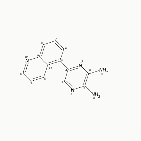 Nc1ncc(-c2cccc3ncccc23)nc1N